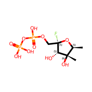 C[C@@H]1O[C@](F)(COP(=O)(O)OP(=O)(O)O)[C@@H](O)[C@@]1(C)O